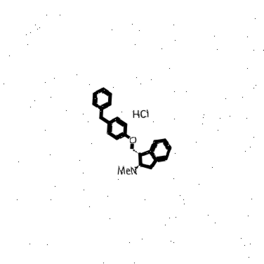 CN[C@H]1Cc2ccccc2[C@H]1COc1ccc(Cc2ccccc2)cc1.Cl